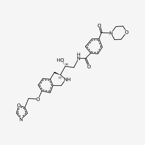 O=C(NC[C@@H](O)[C@@H]1Cc2ccc(OCc3cnco3)cc2CN1)c1ccc(C(=O)N2CCOCC2)cc1